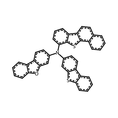 c1ccc2c(c1)ccc1c3cccc(N(c4ccc5c(c4)oc4ccccc45)c4ccc5c(c4)sc4ccccc45)c3sc21